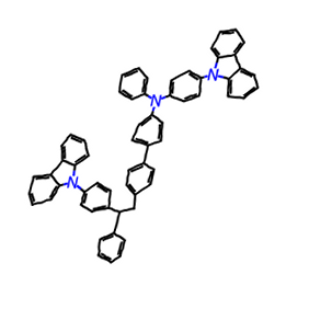 c1ccc(C(Cc2ccc(-c3ccc(N(c4ccccc4)c4ccc(-n5c6ccccc6c6ccccc65)cc4)cc3)cc2)c2ccc(-n3c4ccccc4c4ccccc43)cc2)cc1